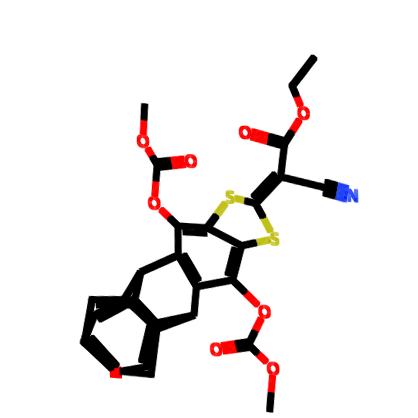 CCOC(=O)C(C#N)=C1Sc2c(OC(=O)OC)c3c(c(OC(=O)OC)c2S1)C1c2ccccc2C3c2ccccc21